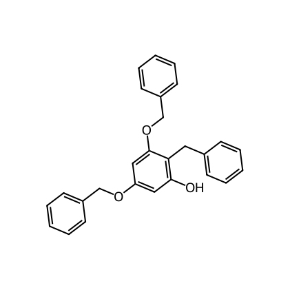 Oc1cc(OCc2ccccc2)cc(OCc2ccccc2)c1Cc1ccccc1